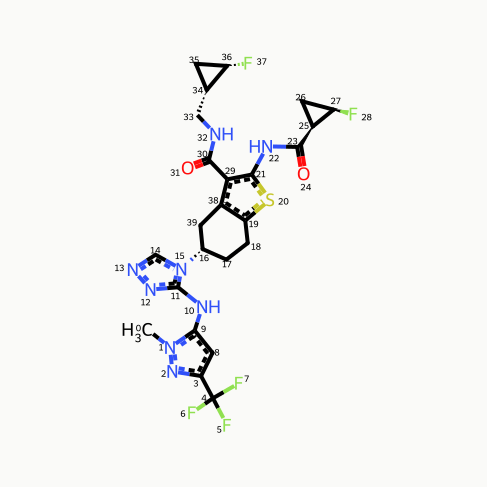 Cn1nc(C(F)(F)F)cc1Nc1nncn1[C@H]1CCc2sc(NC(=O)[C@H]3C[C@H]3F)c(C(=O)NC[C@@H]3C[C@@H]3F)c2C1